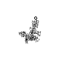 CC(C)(C)[Si](C)(C)O[C@H]1[C@@H](O[PH](=O)O)[C@H](n2cnc3c(=O)[nH]nnc32)O[C@@H]1COP(=S)(OCCC#N)O[C@H]1[C@@H](F)[C@H](n2cnc3c(NC(=O)c4ccccc4)ncnc32)O[C@@H]1CO